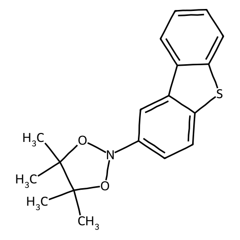 CC1(C)ON(c2ccc3sc4ccccc4c3c2)OC1(C)C